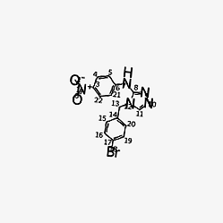 O=[N+]([O-])c1ccc(Nc2nncn2Cc2ccc(Br)cc2)cc1